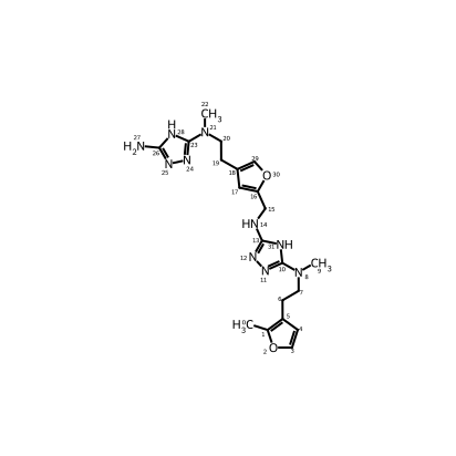 Cc1occc1CCN(C)c1nnc(NCc2cc(CCN(C)c3nnc(N)[nH]3)co2)[nH]1